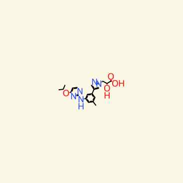 Cc1cc(Nc2nccc(OC(C)C)n2)cc(-c2cnn(CC(O)C(=O)O)c2)c1